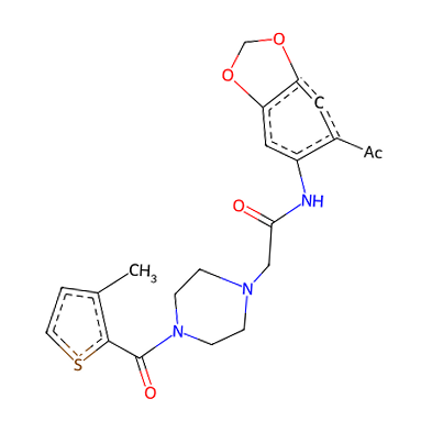 CC(=O)c1cc2c(cc1NC(=O)CN1CCN(C(=O)c3sccc3C)CC1)OCO2